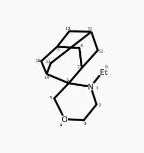 CCN1CCOCC12C1CC3CC(C1)CC2C3